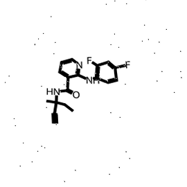 C#CC(C)(CC)NC(=O)c1cccnc1Nc1ccc(F)cc1F